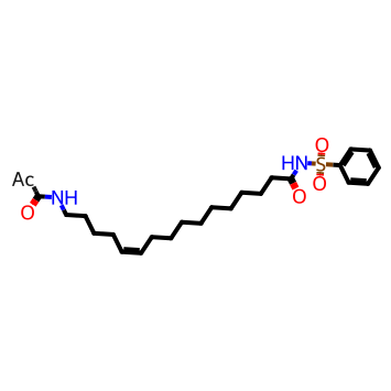 CC(=O)C(=O)NCCCC/C=C\CCCCCCCCCC(=O)NS(=O)(=O)c1ccccc1